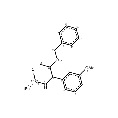 COc1cccc(C(N[S@@+]([O-])C(C)(C)C)C(C)OCc2ccccc2)c1